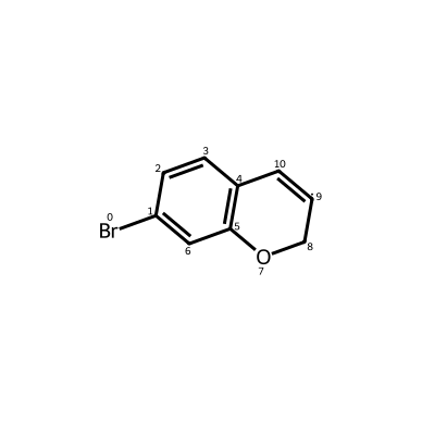 Brc1ccc2c(c1)OC[C]=C2